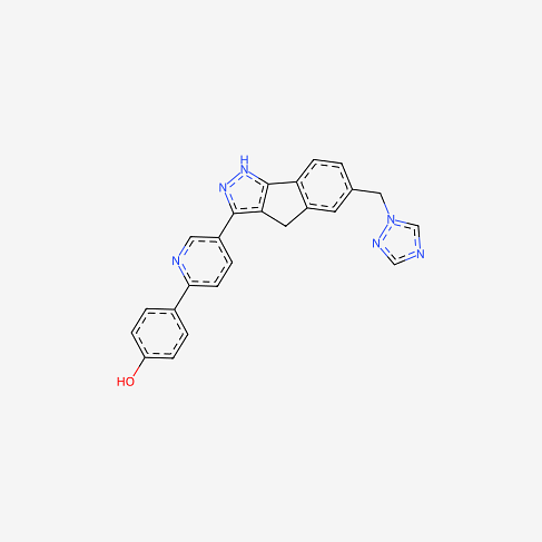 Oc1ccc(-c2ccc(-c3n[nH]c4c3Cc3cc(Cn5cncn5)ccc3-4)cn2)cc1